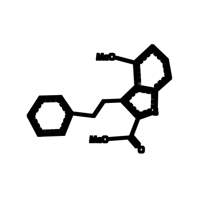 COC(=O)c1sc2cccc(OC)c2c1CCc1ccccc1